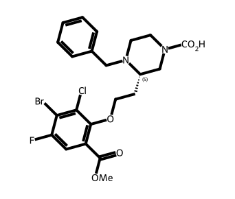 COC(=O)c1cc(F)c(Br)c(Cl)c1OCC[C@H]1CN(C(=O)O)CCN1Cc1ccccc1